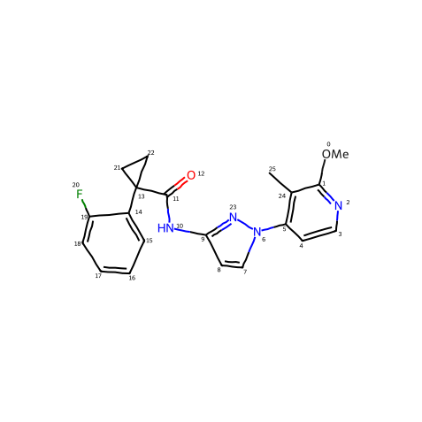 COc1nccc(-n2ccc(NC(=O)C3(c4ccccc4F)CC3)n2)c1C